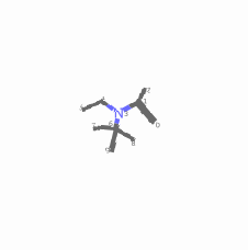 C=C(C)N(CC)C(C)(C)C